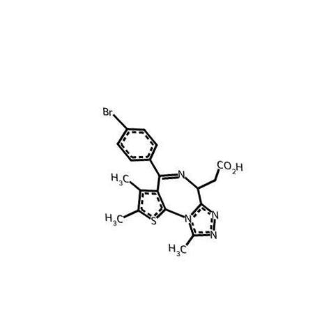 Cc1sc2c(c1C)C(c1ccc(Br)cc1)=NC(CC(=O)O)c1nnc(C)n1-2